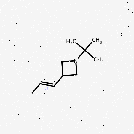 CC(C)(C)N1CC(/C=C/I)C1